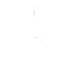 COC1CCN(CC[O])C1